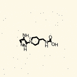 Nc1cn[nH]c1N1CCC(CNC(=O)O)CC1